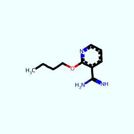 CCCCOc1ncccc1C(=N)N